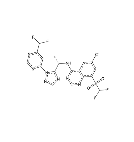 C[C@H](Nc1ncnc2c(S(=O)(=O)C(F)F)cc(Cl)cc12)c1ncnn1-c1cc(C(F)F)ncn1